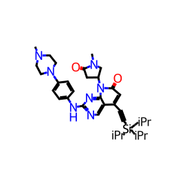 CC(C)[Si](C#Cc1cc(=O)n(C2CC(=O)N(C)C2)c2nc(Nc3ccc(N4CCN(C)CC4)cc3)ncc12)(C(C)C)C(C)C